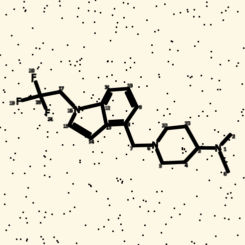 CN(C)C1CCN(Cc2cccc3c2ccn3CC(F)(F)F)CC1